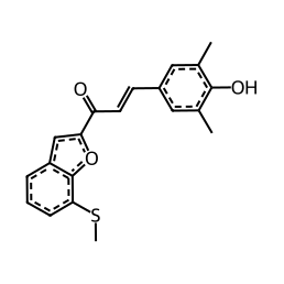 CSc1cccc2cc(C(=O)/C=C/c3cc(C)c(O)c(C)c3)oc12